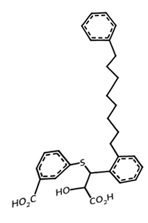 O=C(O)c1cccc(SC(c2ccccc2CCCCCCCCc2ccccc2)C(O)C(=O)O)c1